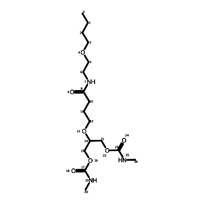 CCCCOCCNC(=O)CCCOC(COC(=O)NC)COC(=O)NC